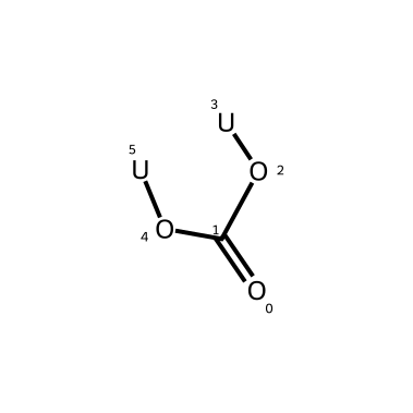 O=C([O][U])[O][U]